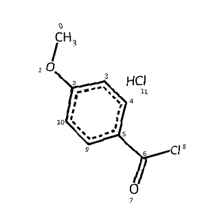 COc1ccc(C(=O)Cl)cc1.Cl